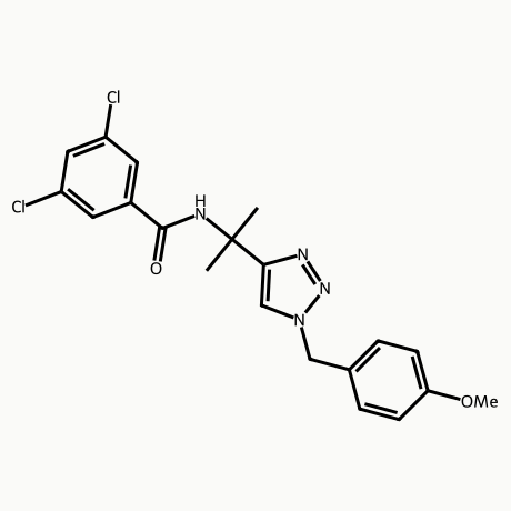 COc1ccc(Cn2cc(C(C)(C)NC(=O)c3cc(Cl)cc(Cl)c3)nn2)cc1